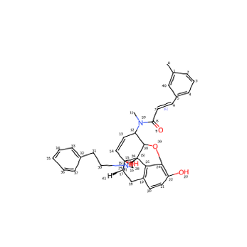 Cc1cccc(/C=C/C(=O)N(C)C2C=C[C@@]3(O)[C@H]4Cc5ccc(O)c6c5[C@@]3(CCN4CCc3ccccc3)C2O6)c1